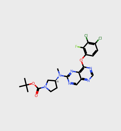 CN(c1ncc2ncnc(Oc3ccc(Cl)c(Cl)c3F)c2n1)[C@H]1CCN(C(=O)OC(C)(C)C)C1